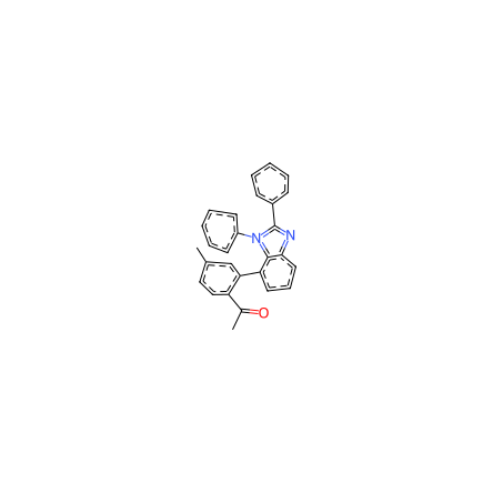 CC(=O)c1ccc(C)cc1-c1cccc2nc(-c3ccccc3)n(-c3ccccc3)c12